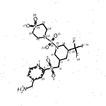 NCc1ccnc(S(=O)(=O)CC2CC(C(F)(F)F)CN(S(=O)(=O)N3CCS(=O)(=O)CC3)C2)c1